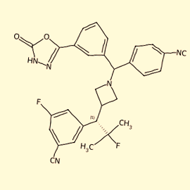 [C-]#[N+]c1ccc(C(c2cccc(-c3n[nH]c(=O)o3)c2)N2CC([C@@H](c3cc(F)cc(C#N)c3)C(C)(C)F)C2)cc1